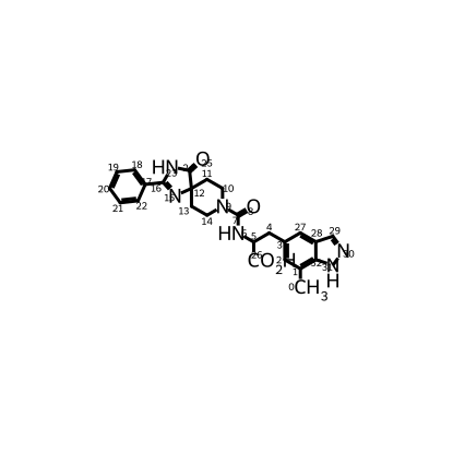 Cc1cc(CC(NC(=O)N2CCC3(CC2)N=C(c2ccccc2)NC3=O)C(=O)O)cc2cn[nH]c12